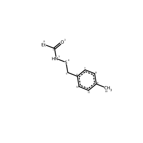 CCC(=O)NSCc1ccc(C)cc1